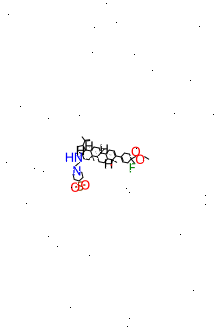 C=C(C)C1CC[C@]2(NCCN3CCC(S(C)(=O)=O)CC3)CC[C@]3(C)[C@H](CC[C@@H]4[C@@]5(C)CC=C(C6=CCC(CF)(C(=O)OCC)CC6)C(C)(C)[C@@H]5CC[C@]43C)[C@@H]12